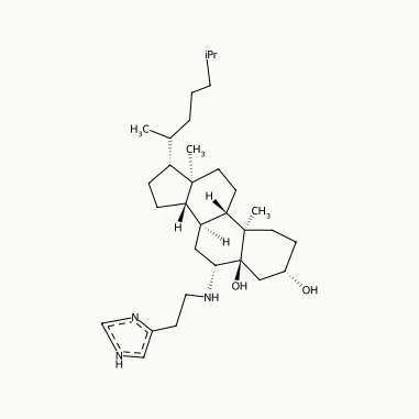 CC(C)CCCC(C)[C@H]1CC[C@H]2[C@@H]3C[C@@H](NCCc4c[nH]cn4)[C@@]4(O)C[C@@H](O)CC[C@]4(C)[C@H]3CC[C@]12C